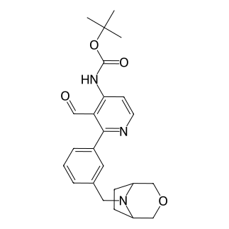 CC(C)(C)OC(=O)Nc1ccnc(-c2cccc(CN3C4CCC3COC4)c2)c1C=O